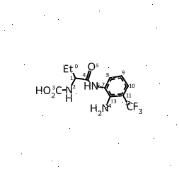 CCC(NC(=O)O)C(=O)Nc1cccc(C(F)(F)F)c1N